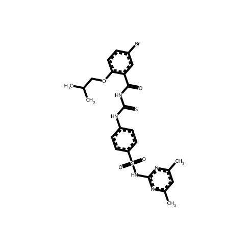 Cc1cc(C)nc(NS(=O)(=O)c2ccc(NC(=S)NC(=O)c3cc(Br)ccc3OCC(C)C)cc2)n1